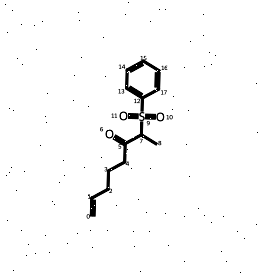 C=CCCCC(=O)C(C)S(=O)(=O)c1ccccc1